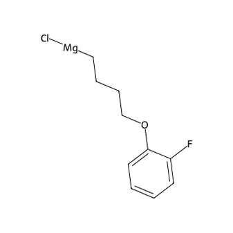 Fc1ccccc1OCCC[CH2][Mg][Cl]